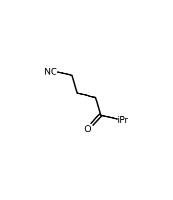 CC(C)C(=O)CCCC#N